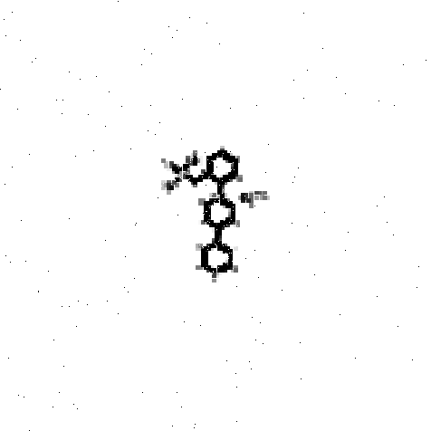 Cl.O=P(O)(O)Cc1ccccc1-[n+]1ccc(-c2ccncc2)cc1.[Cl-]